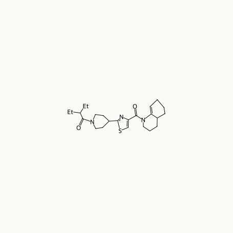 CCC(CC)C(=O)N1CCC(c2nc(C(=O)N3CCCC4CCCC=C43)cs2)CC1